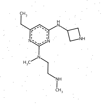 CCc1cc(NC2CNC2)nc(N(C)CCNC)n1